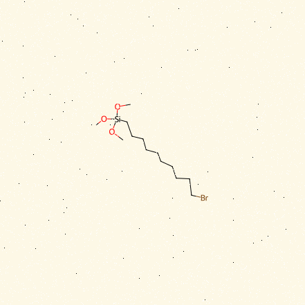 CO[Si](CCCCCCCCCCBr)(OC)OC